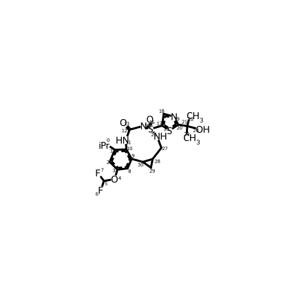 CC(C)c1cc(OC(F)F)cc2c1NC(=O)N=S(=O)(c1cnc(C(C)(C)O)s1)NCC1CC21